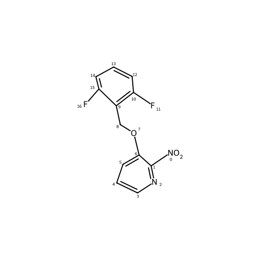 O=[N+]([O-])c1ncccc1OCc1c(F)cccc1F